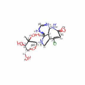 CC1(O)[C@H](O)[C@@H](CO)O[C@H]1n1cc2c3c(ncnc31)NC(=O)C=C2Cl